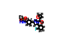 CCS(=O)(=O)Nc1ccc(C2=NN(C(=O)c3ccco3)C(c3ccccc3F)C2)cc1